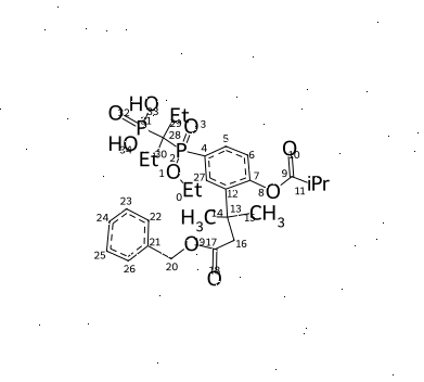 CCOP(=O)(c1ccc(OC(=O)C(C)C)c(C(C)(C)CC(=O)OCc2ccccc2)c1)C(CC)(CC)P(=O)(O)O